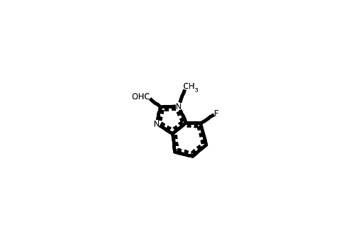 Cn1c(C=O)nc2cccc(F)c21